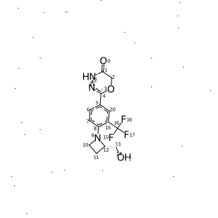 O=C1COC(c2ccc(N3CC[C@H]3CO)c(C(F)(F)F)c2)=NN1